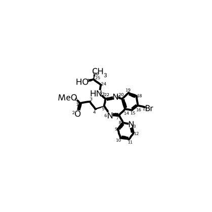 COC(=O)CC[C@@H]1N=C(c2ccccn2)c2cc(Br)ccc2N=C1NC[C@H](C)O